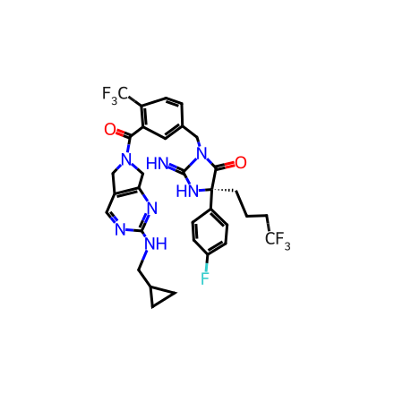 N=C1N[C@](CCCC(F)(F)F)(c2ccc(F)cc2)C(=O)N1Cc1ccc(C(F)(F)F)c(C(=O)N2Cc3cnc(NCC4CC4)nc3C2)c1